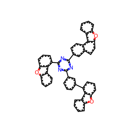 c1cc(-c2nc(-c3ccc4c(ccc5oc6ccccc6c54)c3)nc(-c3cccc4oc5ccccc5c34)n2)cc(-c2cccc3oc4ccccc4c23)c1